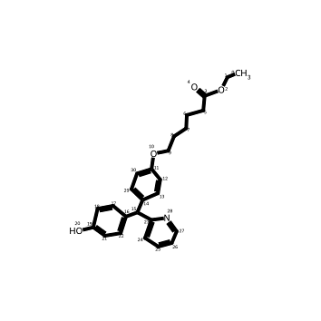 CCOC(=O)CCCCCOc1ccc(C(c2ccc(O)cc2)c2ccccn2)cc1